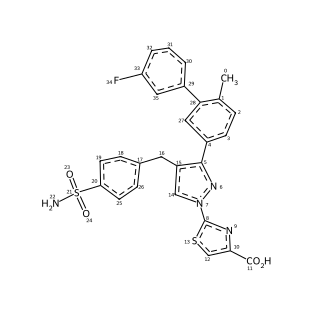 Cc1ccc(-c2nn(-c3nc(C(=O)O)cs3)cc2Cc2ccc(S(N)(=O)=O)cc2)cc1-c1cccc(F)c1